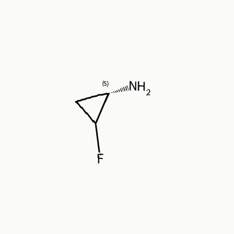 N[C@H]1CC1F